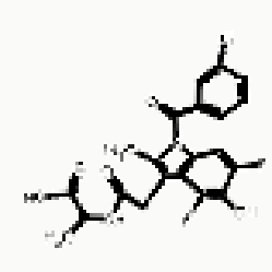 Cc1c(CC(=O)NC(C)C(=O)O)c2c(F)c(O)c(F)cc2n1C(=O)c1cccc(Cl)c1